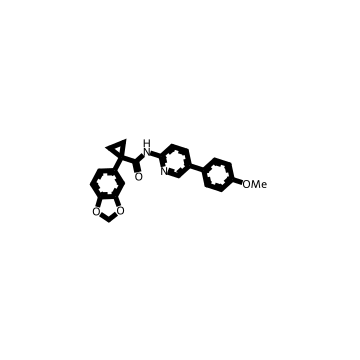 COc1ccc(-c2ccc(NC(=O)C3(c4ccc5c(c4)OCO5)CC3)nc2)cc1